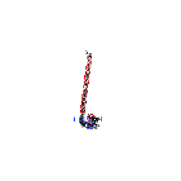 C=CC(C)COCCOCCOCCOCCOCCOCCOCCOCCOCCOCCOCCOCCCCN[C@H]1CCN(c2nc3cc([C@@H]4CCCCN4C(=O)c4cc(Cl)ccc4NS(C)(=O)=O)nn3cc2C)C1